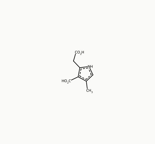 Cc1c[nH]c(CC(=O)O)c1C(=O)O